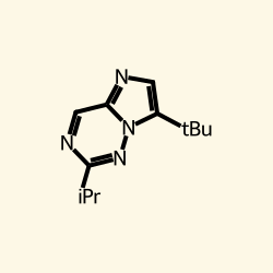 CC(C)c1ncc2ncc(C(C)(C)C)n2n1